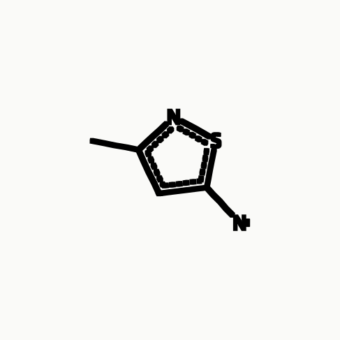 Cc1cc([N])sn1